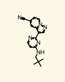 CC(C)(C)CNc1ccnc(-c2cnn3ccc(C#N)cc23)n1